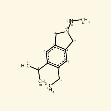 CCc1cc2c(cc1C(C)C)CN(NC)C2